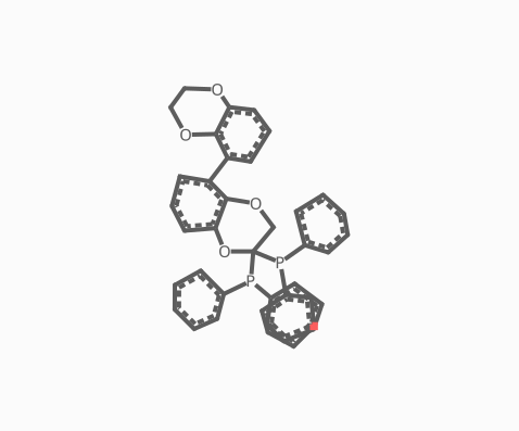 c1ccc(P(c2ccccc2)C2(P(c3ccccc3)c3ccccc3)COc3c(cccc3-c3cccc4c3OCCO4)O2)cc1